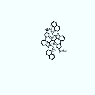 CN[C@@H]1CCN(c2cccc3nc(CN(C)[C@H]4CCCc5cccnc54)c(C(O)C(O)c4c(CN(C)[C@H]5CCCc6cccnc65)nc5cccc(N6CC[C@@H](NC)C6)n45)n23)C1